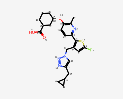 Cc1nc(-c2sc(F)cc2Cn2cc(CC3CC3)nn2)ccc1O[C@H]1CCCC(C(=O)O)C1